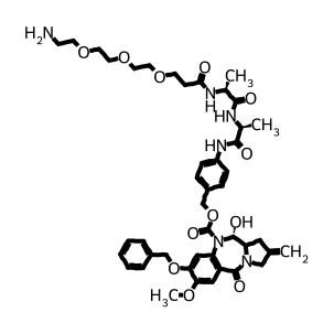 C=C1CC2[C@@H](O)N(C(=O)OCc3ccc(NC(=O)[C@H](C)NC(=O)[C@H](C)NC(=O)CCOCCOCCOCCN)cc3)c3cc(OCc4ccccc4)c(OC)cc3C(=O)N2C1